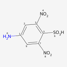 Nc1cc([N+](=O)[O-])c(S(=O)(=O)O)c([N+](=O)[O-])c1